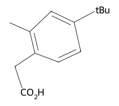 Cc1cc(C(C)(C)C)ccc1CC(=O)O